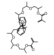 C=C(C)C(=O)OC(C)COC(C)COC(C)COC1=CC2=CC=C1C2C1(C)C2=CC=C1C(OCC(C)OCC(C)OCC(C)OC(=O)C(=C)C)=C2